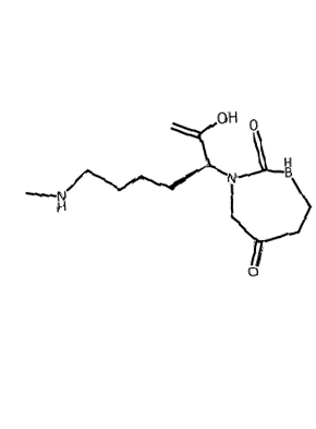 C=C(O)[C@H](CCCCNC)N1CC(=O)CCBC1=O